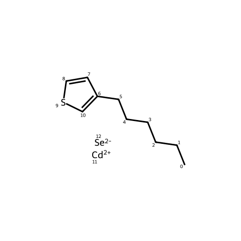 CCCCCCc1ccsc1.[Cd+2].[Se-2]